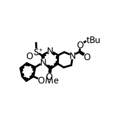 COc1ccccc1-n1c([S+](C)[O-])nc2c(c1=O)CCN(C(=O)OC(C)(C)C)C2